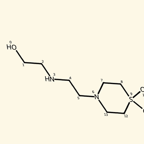 OCCNCCN1CCS(O)(O)CC1